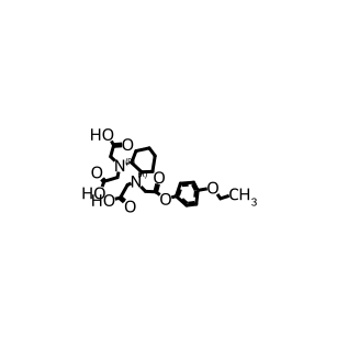 CCOc1ccc(OC(=O)CN(CC(=O)O)[C@@H]2CCCC[C@H]2N(CC(=O)O)CC(=O)O)cc1